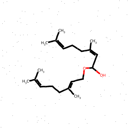 CC(C)=CCC/C(C)=C\C(O)OC/C=C(\C)CCC=C(C)C